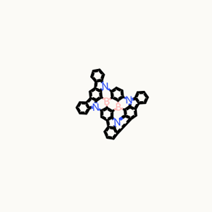 c1ccc2c(c1)c1cc3c4ccccc4n4c3c3c1n2-c1ccc2c5c1B3c1c-4cc3c4cccc6c7cc8c9ccccc9n-2c8c2c7n(c3c1B52)c46